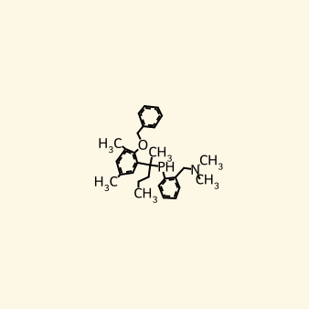 CCCC(C)(Pc1ccccc1CN(C)C)c1cc(C)cc(C)c1OCc1ccccc1